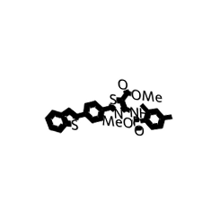 COC(=O)c1sc(-c2ccc(-c3cc4ccccc4s3)cc2)nc1NP(=O)(OC)c1ccc(C)cc1C